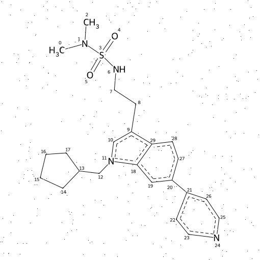 CN(C)S(=O)(=O)NCCc1cn(CC2CCCC2)c2cc(-c3ccncc3)ccc12